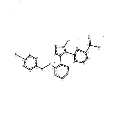 Cc1ccc(-c2ccccc2OCc2ccc(Cl)cc2)n1-c1cccc(C(=O)O)c1